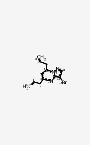 C=CCc1cc(CC=C)n2ncc(Br)c2n1